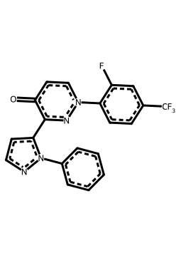 O=c1ccn(-c2ccc(C(F)(F)F)cc2F)nc1-c1ccnn1-c1ccccc1